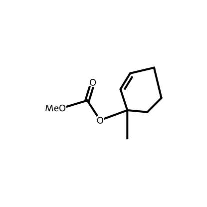 COC(=O)OC1(C)C=CCCC1